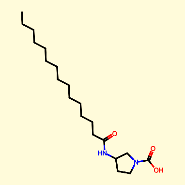 CCCCCCCCCCCCCCC(=O)NC1CCN(C(=O)O)C1